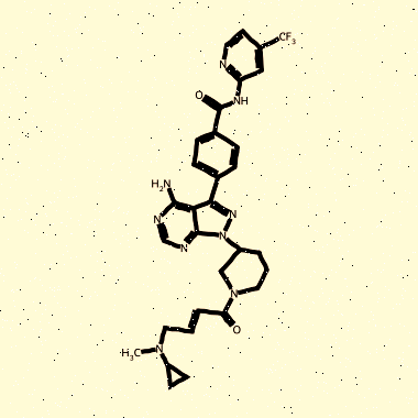 CN(C/C=C/C(=O)N1CCCC(n2nc(-c3ccc(C(=O)Nc4cc(C(F)(F)F)ccn4)cc3)c3c(N)ncnc32)C1)C1CC1